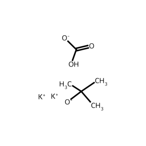 CC(C)(C)[O-].O=C([O-])O.[K+].[K+]